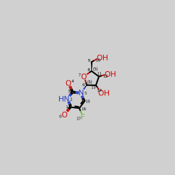 O=c1[nH]c(=O)n([C@H]2O[C@@H](CO)C(O)C2O)cc1F